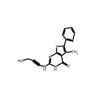 Cc1c(-c2ccccc2)sc2nc(NC#CCO)[nH]c(=O)c12